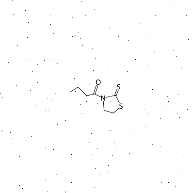 CCCC(=O)N1CCSC1=S